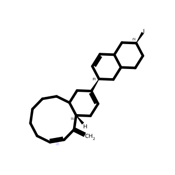 C=C1/C=C\CCCCCC2CC([C@H]3C=CC4C[C@@H](I)CCC4C3)=CC[C@H]12